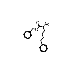 CC(=O)C(CCCCc1ccccc1)C(=O)OCc1ccccc1